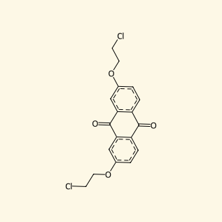 O=C1c2ccc(OCCCl)cc2C(=O)c2cc(OCCCl)ccc21